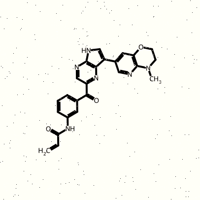 C=CC(=O)Nc1cccc(C(=O)c2cnc3[nH]cc(-c4cnc5c(c4)OCCN5C)c3n2)c1